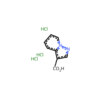 Cl.Cl.Cl.O=C(O)c1cnn2ccccc12